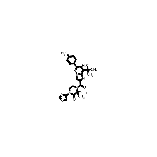 CC1=CCC(c2cc(C(C)(C)C)c3nc(C(=O)N4CCN(c5c[nH]cn5)C(=O)C4(C)C)cn3n2)C=C1